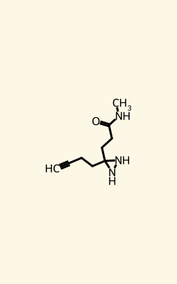 C#CCCC1(CCC(=O)NC)NN1